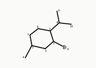 [B]C1CC(C)CCC1C(C)C